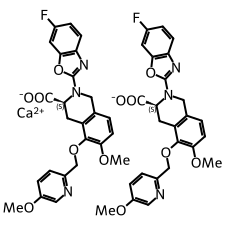 COc1ccc(COc2c(OC)ccc3c2C[C@@H](C(=O)[O-])N(c2nc4ccc(F)cc4o2)C3)nc1.COc1ccc(COc2c(OC)ccc3c2C[C@@H](C(=O)[O-])N(c2nc4ccc(F)cc4o2)C3)nc1.[Ca+2]